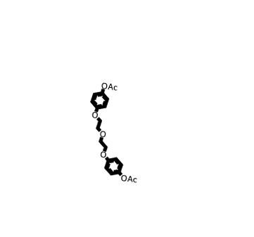 CC(=O)Oc1ccc(OCCOCCOc2ccc(OC(C)=O)cc2)cc1